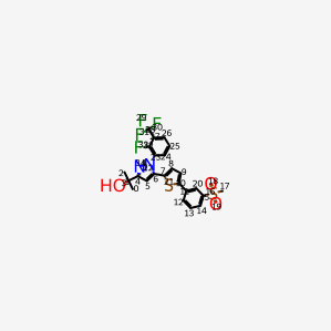 CC(C)(O)c1cc(-c2ccc(-c3cccc(S(C)(=O)=O)c3)s2)n(-c2cccc(C(F)(F)F)c2F)n1